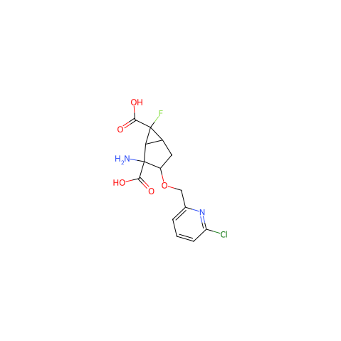 NC1(C(=O)O)C(OCc2cccc(Cl)n2)CC2C1C2(F)C(=O)O